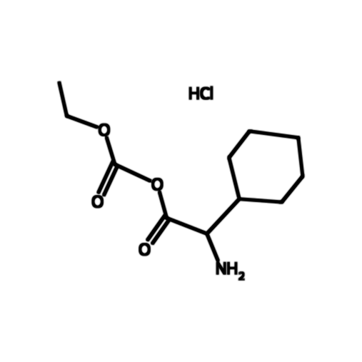 CCOC(=O)OC(=O)C(N)C1CCCCC1.Cl